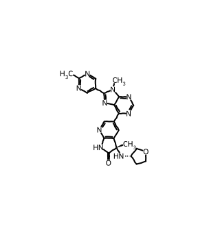 Cc1ncc(-c2nc3c(-c4cnc5c(c4)[C@](C)(N[C@H]4CCOC4)C(=O)N5)ncnc3n2C)cn1